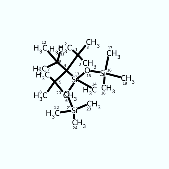 CC(C)(C)C(C(C)(C)C)(C(C)(C)C)[Si](C)(O[Si](C)(C)C)O[Si](C)(C)C